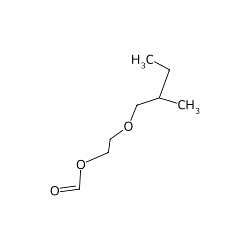 CCC(C)COCCOC=O